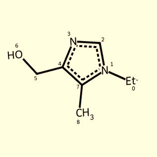 C[CH]n1cnc(CO)c1C